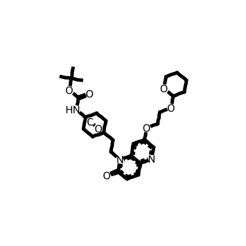 CC(C)(C)OC(=O)NC12CCC(CCn3c(=O)ccc4ncc(OCCOC5CCCCO5)cc43)(CC1)OC2